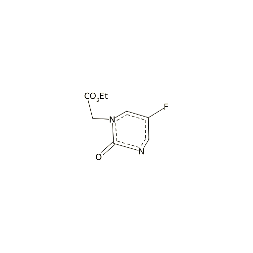 CCOC(=O)Cn1cc(F)cnc1=O